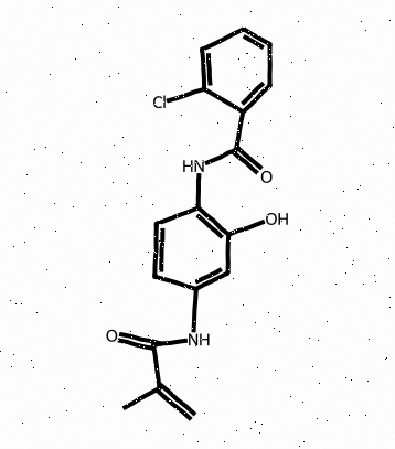 C=C(C)C(=O)Nc1ccc(NC(=O)c2ccccc2Cl)c(O)c1